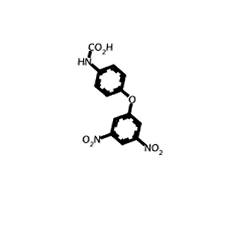 O=C(O)Nc1ccc(Oc2cc([N+](=O)[O-])cc([N+](=O)[O-])c2)cc1